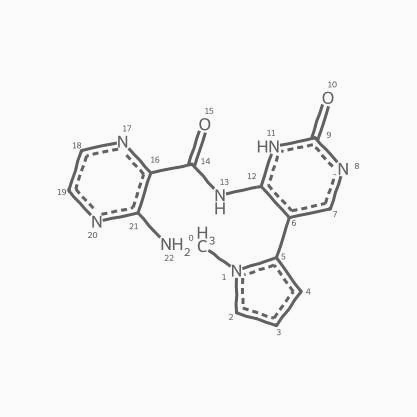 Cn1cccc1-c1cnc(=O)[nH]c1NC(=O)c1nccnc1N